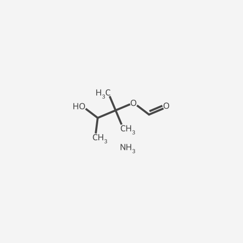 CC(O)C(C)(C)OC=O.N